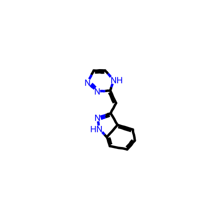 C1=CNC(=Cc2n[nH]c3ccccc23)N=N1